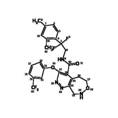 Cc1ccc(C(F)(F)CNC(=O)c2c(Oc3cccc(C(F)(F)F)c3)nnc3c2CCONC3)c(C)c1